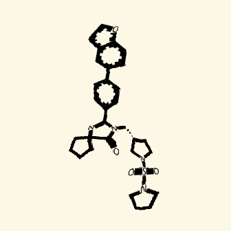 O=C1N(C[C@@H]2CCN(S(=O)(=O)N3CCCC3)C2)C(c2ccc(-c3ccc4occc4c3)cc2)=NC12CCCC2